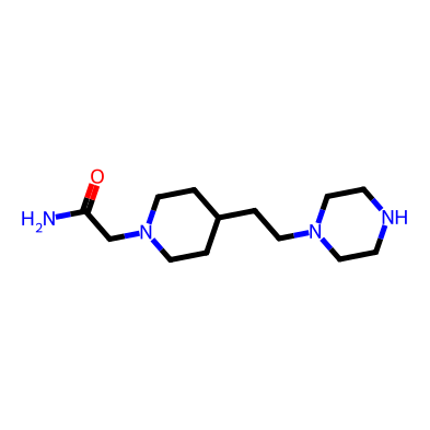 NC(=O)CN1CCC(CCN2CCNCC2)CC1